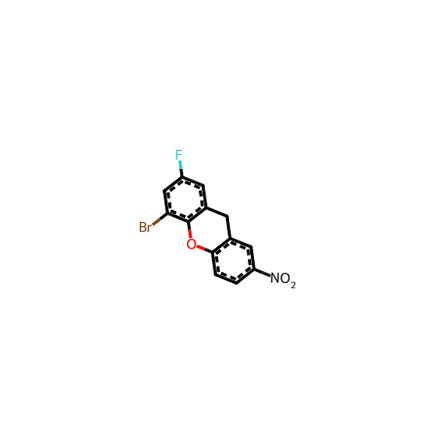 O=[N+]([O-])c1ccc2c(c1)Cc1cc(F)cc(Br)c1O2